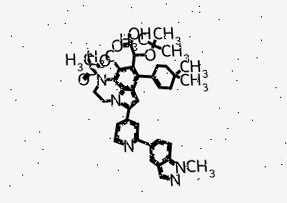 Cc1c(C(OC(C)(C)C)C(=O)O)c(C2=CCC(C)(C)CC2)c2cc(-c3ccnc(-c4ccc5c(cnn5C)c4)c3)n3c2c1N(S(C)(=O)=O)CC3